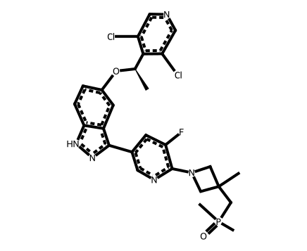 C[C@@H](Oc1ccc2[nH]nc(-c3cnc(N4CC(C)(CP(C)(C)=O)C4)c(F)c3)c2c1)c1c(Cl)cncc1Cl